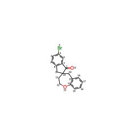 O=C1c2cc(Br)ccc2CC12CCOc1ccccc1C2